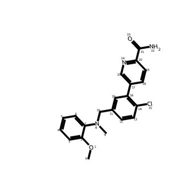 COc1ccccc1N(C)Cc1ccc(Cl)c(-c2ccc(C(N)=O)nc2)c1